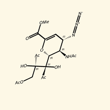 COC(=O)C1=C[C@H](N=[N+]=[N-])[C@@H](NC(C)=O)[C@H]([C@@](O)(C(C)=O)[C@](O)(COC(C)=O)C(C)=O)O1